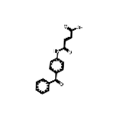 O=C(O)C=CC(=O)Nc1ccc(C(=O)c2ccccc2)cc1